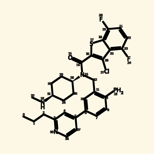 CCCc1cc(-c2ccc(P)c(CN(C(=O)c3sc4c(F)ccc(F)c4c3Cl)[C@H]3CC[C@H](NC)CC3)c2)ccn1